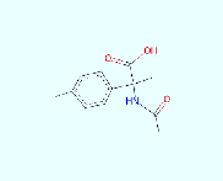 CC(=O)NC(C)(C(=O)O)c1ccc(C)cc1